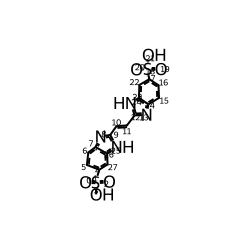 O=S(=O)(O)c1ccc2nc(C=Cc3nc4ccc(S(=O)(=O)O)cc4[nH]3)[nH]c2c1